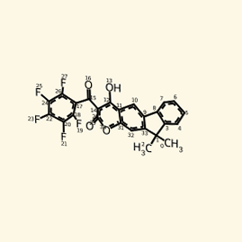 CC1(C)c2ccccc2-c2cc3c(O)c(C(=O)c4c(F)c(F)c(F)c(F)c4F)c(=O)oc3cc21